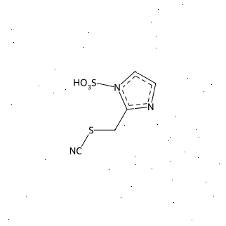 N#CSCc1nccn1S(=O)(=O)O